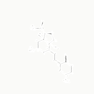 C=C1CC[C@H](O)C/C1=C/C=C1\C[C@H](O)C[C@]2(C)[C@@H]([C@H](C)O)CC[C@@H]12